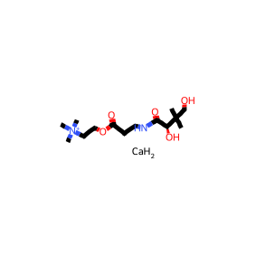 CC(C)(CO)[C@@H](O)C(=O)NCCC(=O)OCC[N+](C)(C)C.[CaH2]